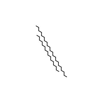 CCCCCCCCCCCCCCCC.CCCCCCCCCCCCCCCCCCCCCC